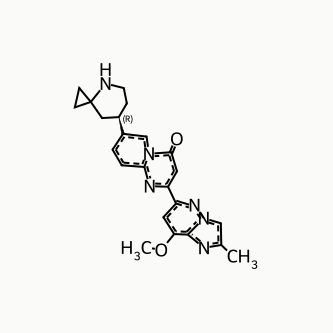 COc1cc(-c2cc(=O)n3cc([C@@H]4CCNC5(CC5)C4)ccc3n2)nn2cc(C)nc12